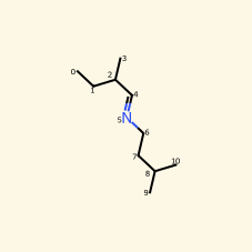 CCC(C)/C=N/CCC(C)C